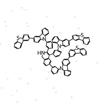 c1cc(C2=C(c3cccc(-n4c5ccccc5c5cc(-c6ccc7sc8ccccc8c7c6)ccc54)c3)c3cc(-c4cccc(-n5c6ccccc6c6cc(-c7ccc8sc9ccccc9c8c7)ccc65)c4)ccc3CN2)cc(-n2c3ccccc3c3cc(-c4ccc5sc6ccccc6c5c4)ccc32)c1